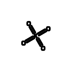 [O]=[K](=[O])(=[O])=[O]